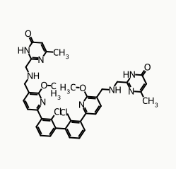 COc1nc(-c2cccc(-c3cccc(-c4ccc(CNCc5nc(C)cc(=O)[nH]5)c(OC)n4)c3Cl)c2Cl)ccc1CNCc1nc(C)cc(=O)[nH]1